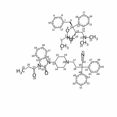 CCC(=O)O[C@](Cc1ccccc1)(c1ccccc1)[C@H](C)CN(C)C.CCC(=O)n1c(=O)n(C2CCN(CCC(C#N)(c3ccccc3)c3ccccc3)CC2)c2ccccc21